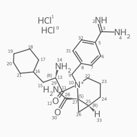 Cl.Cl.N=C(N)c1ccc(C[N+]2(C(=O)[C@H](N)CC3CCCCC3)CCC[C@@H]3C[C@@]32C(N)=O)cc1